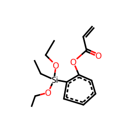 C=CC(=O)Oc1ccccc1[Si](CC)(OCC)OCC